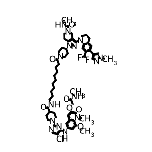 CNC(=O)COc1cc2cc(Nc3nc(N4CCC(C(=O)NCCCCCCCCCCC(=O)N5CCC(n6nc(N7CCCc8cc(-c9cnn(C)c9)c(C(F)F)cc87)c7c6CCN(C(=O)NC)C7)CC5)CC4)ncc3Cl)cc(OC)c2n(C)c1=O